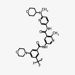 Cc1ncc(NC(=O)c2cc(N3CCOCC3)cc(C(F)(F)F)c2)cc1C(=O)Nc1ccc(N(C)C2CCOCC2)nc1